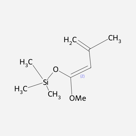 C=C(C)/C=C(/OC)O[Si](C)(C)C